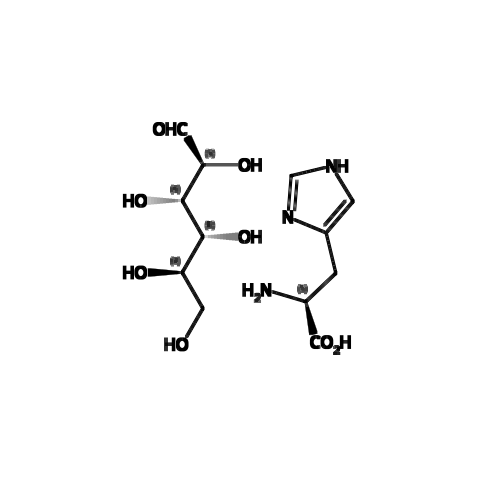 N[C@@H](Cc1c[nH]cn1)C(=O)O.O=C[C@@H](O)[C@@H](O)[C@H](O)[C@H](O)CO